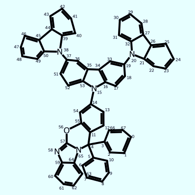 c1ccc(C2(c3ccccc3)c3ccc(-n4c5ccc(-n6c7ccccc7c7ccccc76)cc5c5cc(-n6c7ccccc7c7ccccc76)ccc54)cc3Oc3nc4ccccc4n32)cc1